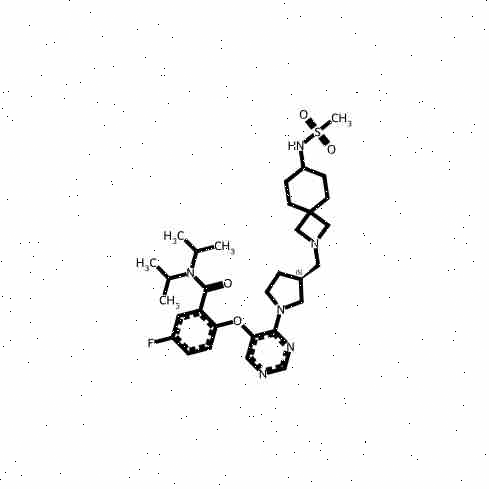 CC(C)N(C(=O)c1cc(F)ccc1Oc1cncnc1N1CC[C@@H](CN2CC3(CCC(NS(C)(=O)=O)CC3)C2)C1)C(C)C